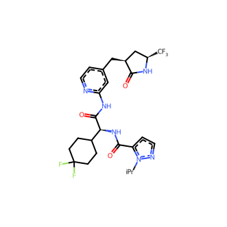 CC(C)n1nccc1C(=O)N[C@H](C(=O)Nc1cc(C[C@H]2C[C@@H](C(F)(F)F)NC2=O)ccn1)C1CCC(F)(F)CC1